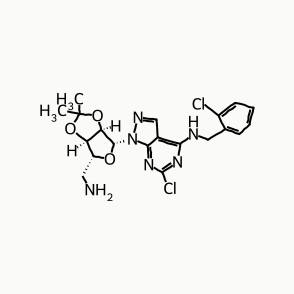 CC1(C)O[C@@H]2[C@H](O1)[C@@H](CN)O[C@H]2n1ncc2c(NCc3ccccc3Cl)nc(Cl)nc21